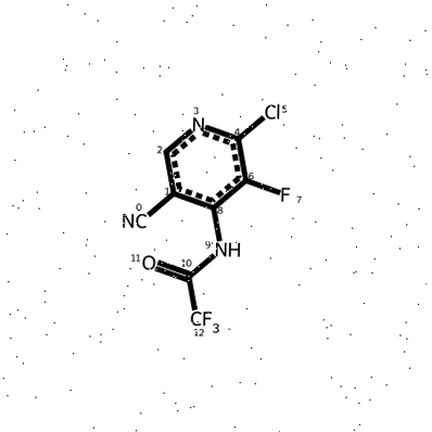 N#Cc1cnc(Cl)c(F)c1NC(=O)C(F)(F)F